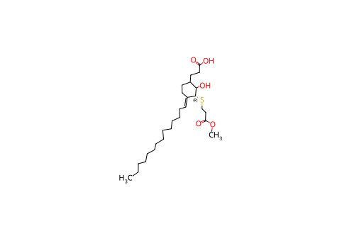 CCCCCCCCCCCCCC=C1CCC(CCC(=O)O)C(O)[C@@H]1SCCC(=O)OC